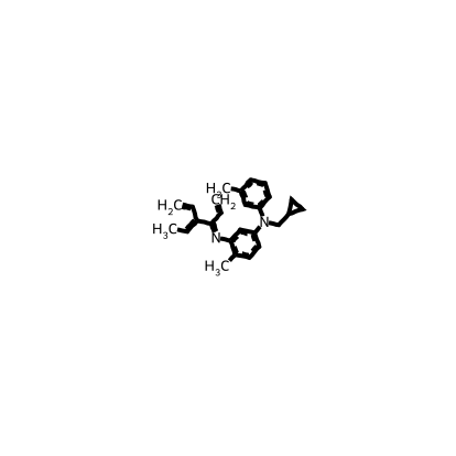 C=CC(=C\C)/C(C=C)=N/c1cc(N(CC2CC2)c2cccc(C)c2)ccc1C